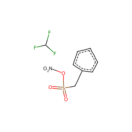 FC(F)F.O=[N+]([O-])OS(=O)(=O)Cc1ccccc1